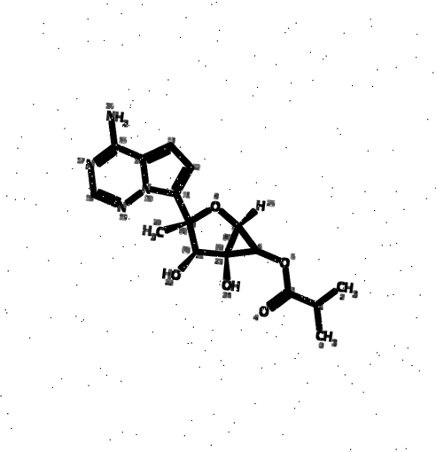 CC(C)C(=O)OC1[C@H]2O[C@@](C)(c3ccc4c(N)ncnn34)[C@H](O)[C@@]12O